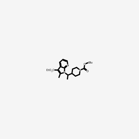 CCOC(=O)c1c(C)n(C(C)C2CCN(C(=O)OC(C)(C)C)CC2)c2ncccc12